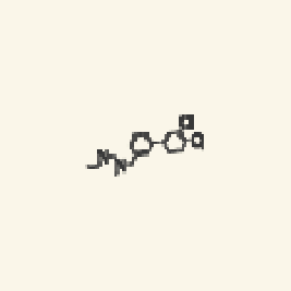 C=C/N=C\N(C)Cc1cccc(-c2ccc(OC)c(Cl)c2)c1